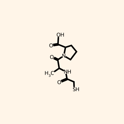 CC(NC(=O)CS)C(=O)N1CCCC1C(=O)O